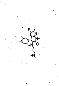 Cc1nc2c(cc1F)c1c(c(=O)n2C)N(CCCN(C)C)CC2CN(C)C(C)CN12